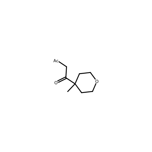 CC(=O)CC(=O)C1(C)CCOCC1